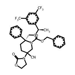 C[C@@H](OC[C@@]1(c2ccccc2)CCC(C#N)(N2CCOC2=O)CN1C(=O)OCc1ccccc1)c1cc(C(F)(F)F)cc(C(F)(F)F)c1